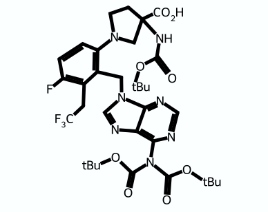 CC(C)(C)OC(=O)NC1(C(=O)O)CCN(c2ccc(F)c(CC(F)(F)F)c2Cn2cnc3c(N(C(=O)OC(C)(C)C)C(=O)OC(C)(C)C)ncnc32)C1